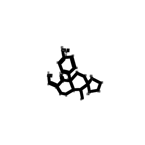 CC1C2CCC(=CO)C(=O)C2(c2ccc(C(=O)O)cc2)CCC12OCCO2